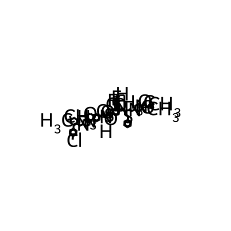 CC1(C)CCC(CN2CCN3c4ccc(C(=O)NS(=O)(=O)c5ccc(N[C@H](CCN6CCN(C(=O)OC(C)(C)C)CC6)CSc6ccccc6)c(S(=O)(=O)C(F)(F)F)c5)cc4OC[C@@H]3C2)=C(c2ccc(Cl)cc2)C1